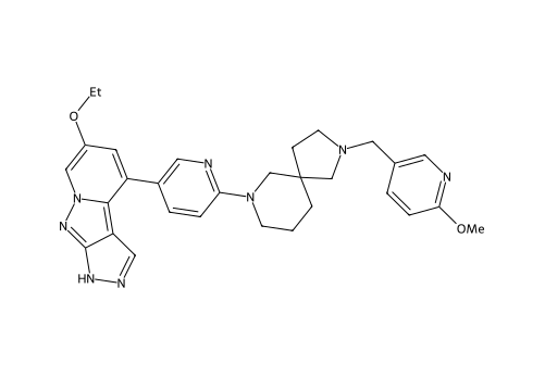 CCOc1cc(-c2ccc(N3CCCC4(CCN(Cc5ccc(OC)nc5)C4)C3)nc2)c2c3cn[nH]c3nn2c1